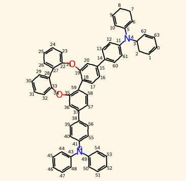 C1=CCC(N(C2=CCCC=C2)c2ccc(-c3ccc4c(c3)Oc3ccccc3-c3ccccc3Oc3cc(-c5ccc(N(c6ccccc6)c6ccccc6)cc5)ccc3-4)cc2)C=C1